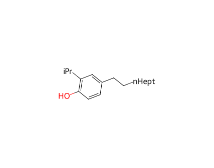 CCCCCCCCCc1ccc(O)c(C(C)C)c1